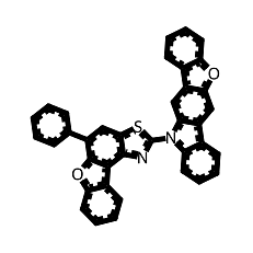 c1ccc(-c2cc3sc(-n4c5ccccc5c5cc6oc7ccccc7c6cc54)nc3c3c2oc2ccccc23)cc1